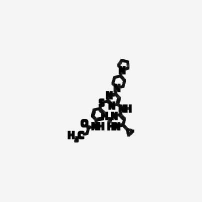 CCC(=O)Nc1ccc(Sc2nc(N/C(N)=C/C(=N)C3CC3)cc(N3CCC(N4CCCC4)CC3)n2)cc1